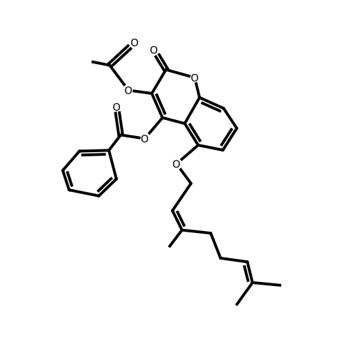 CC(=O)Oc1c(OC(=O)c2ccccc2)c2c(OCC=C(C)CCC=C(C)C)cccc2oc1=O